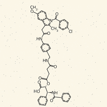 COc1ccc2c(c1)c(CC(=O)Nc1ccc(CNC(=O)CCC(=O)O[C@@H](C(=O)O)[C@@H](NC(=O)c3ccccc3)c3ccccc3)cc1)c(C)n2C(=O)c1ccc(Cl)cc1